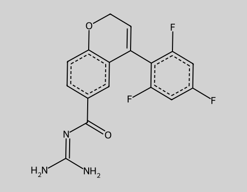 NC(N)=NC(=O)c1ccc2c(c1)C(c1c(F)cc(F)cc1F)=CCO2